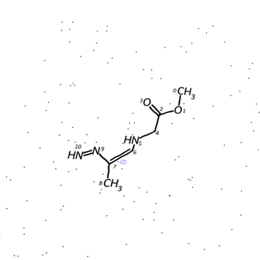 COC(=O)CN/C=C(/C)N=N